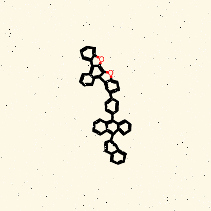 c1ccc2cc(-c3c4ccccc4c(-c4ccc(-c5ccc6oc7c8oc9ccccc9c8c8ccccc8c7c6c5)cc4)c4ccccc34)ccc2c1